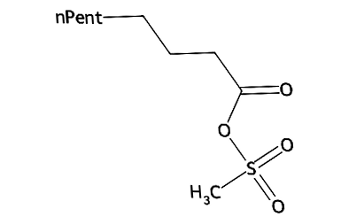 CCCCCCCCC(=O)OS(C)(=O)=O